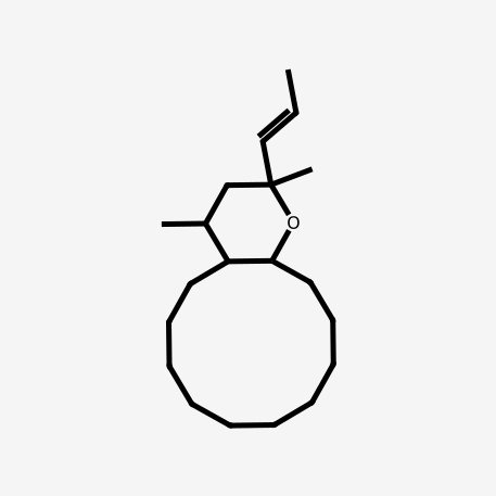 CC=CC1(C)CC(C)C2CCCCCCCCCCC2O1